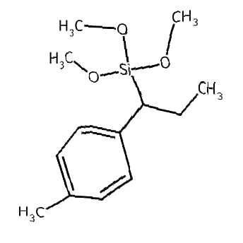 CCC(c1ccc(C)cc1)[Si](OC)(OC)OC